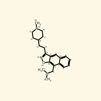 CN(C)Cc1c2ccccc2cc2c(CCC3CCN(C)CC3)noc12